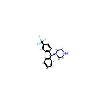 FC(F)(F)c1ccc(C(c2ccccc2)N2CCNCC2)cc1